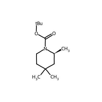 C[C@H]1CC(C)(C)CCN1C(=O)OC(C)(C)C